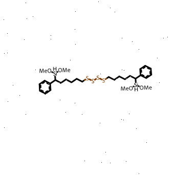 CO[SiH](OC)C(CCCCCSSSSCCCCCC(c1ccccc1)[SiH](OC)OC)c1ccccc1